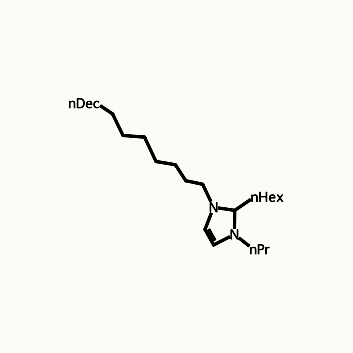 CCCCCCCCCCCCCCCCCN1C=CN(CCC)C1CCCCCC